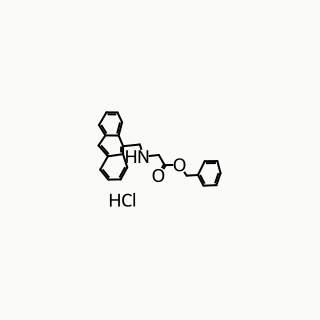 Cl.O=C(CNCc1c2ccccc2cc2ccccc12)OCc1ccccc1